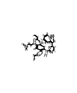 C=CC(=O)Nc1cc(Nc2nccc(-c3cnn4ccccc34)n2)c(OCC)cc1OCCN(C)C